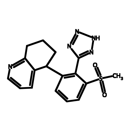 CS(=O)(=O)c1cccc(C2CCCc3ncccc32)c1-c1nn[nH]n1